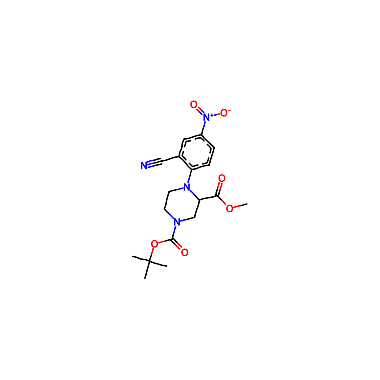 COC(=O)C1CN(C(=O)OC(C)(C)C)CCN1c1ccc([N+](=O)[O-])cc1C#N